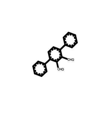 O=Cc1c(-c2ccccc2)ccc(-c2ccccc2)c1C=O